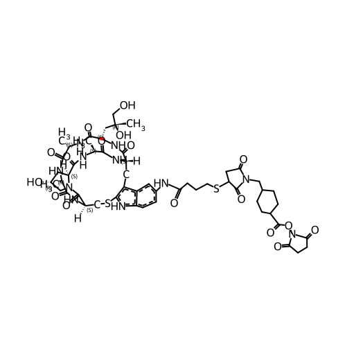 C[C@@H]1NC(=O)[C@H](C[C@@](C)(O)CO)NC(=O)[C@@H]2Cc3c([nH]c4ccc(NC(=O)CCCSC5CC(=O)N(CC6CCC(C(=O)ON7C(=O)CCC7=O)CC6)C5=O)cc34)SC[C@@H](NC(=O)[C@@H](C)NC1=O)C(=O)N1C[C@H](O)C[C@H]1C(=O)N[C@@H](C)C(=O)N2